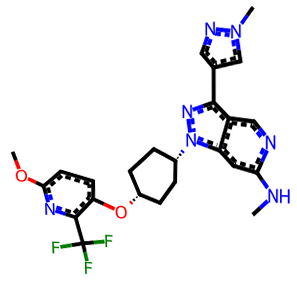 CNc1cc2c(cn1)c(-c1cnn(C)c1)nn2[C@H]1CC[C@@H](Oc2ccc(OC)nc2C(F)(F)F)CC1